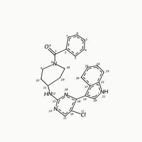 O=C(c1ccccc1)N1CCC(Nc2ncc(Cl)c(-c3c[nH]c4ccccc34)n2)CC1